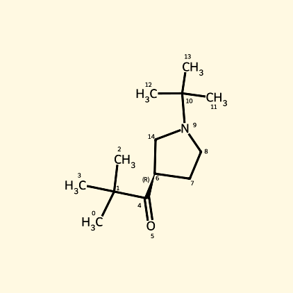 CC(C)(C)C(=O)[C@@H]1CCN(C(C)(C)C)C1